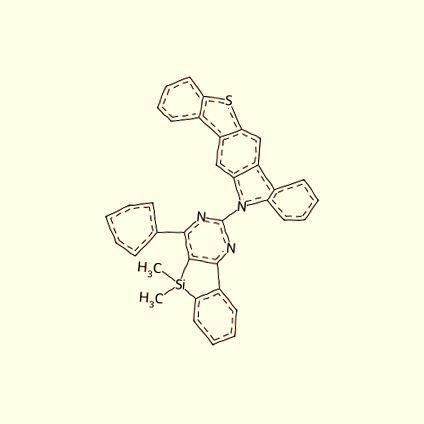 C[Si]1(C)c2ccccc2-c2nc(-n3c4ccccc4c4cc5sc6ccccc6c5cc43)nc(-c3ccccc3)c21